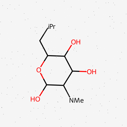 CNC1C(O)OC(CC(C)C)C(O)C1O